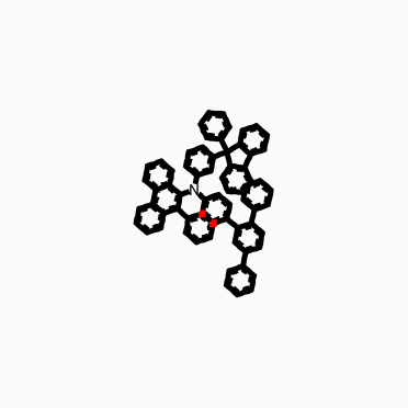 c1ccc(-c2ccc(-c3ccccc3)c(-c3ccc(N(c4cccc(C5(c6ccccc6)c6ccccc6-c6ccccc65)c4)c4c(-c5ccccc5)c5ccccc5c5ccccc45)cc3)c2)cc1